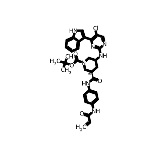 C=CC(=O)Nc1ccc(NC(=O)[C@@H]2CC(Nc3ncc(Cl)c(-c4c[nH]c5ccccc45)n3)CN(C(=O)OC(C)(C)C)C2)cc1